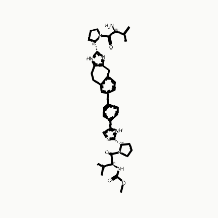 COC(=O)N[C@H](C(=O)N1CCC[C@H]1c1ncc(-c2ccc(-c3ccc4c(c3)CCc3[nH]c([C@@H]5CCCN5C(=O)[C@@H](N)C(C)C)nc3C4)cc2)[nH]1)C(C)C